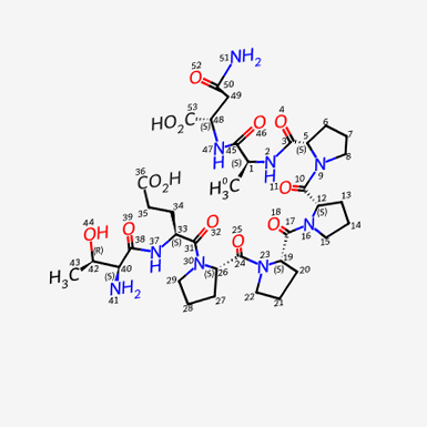 C[C@H](NC(=O)[C@@H]1CCCN1C(=O)[C@@H]1CCCN1C(=O)[C@@H]1CCCN1C(=O)[C@@H]1CCCN1C(=O)[C@H](CCC(=O)O)NC(=O)[C@@H](N)[C@@H](C)O)C(=O)N[C@@H](CC(N)=O)C(=O)O